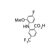 COc1cc(F)ccc1Nc1cc(C(F)(F)F)ccc1C(=O)O